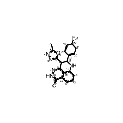 Cc1nnc(C2c3n[nH]c(=O)c4cccc(c34)NC2C2=CCC(F)C=C2)o1